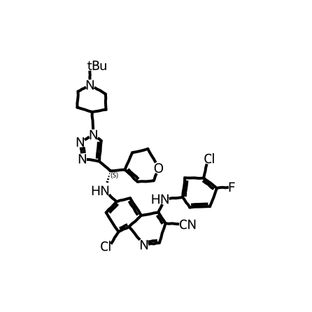 CC(C)(C)N1CCC(n2cc([C@@H](Nc3cc(Cl)c4ncc(C#N)c(Nc5ccc(F)c(Cl)c5)c4c3)C3=CCOCC3)nn2)CC1